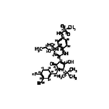 CCO[PH]1(O)N=C(C2=C(O)[C@H](C(C)(C)C)N(Cc3ccc(F)c(Br)c3)C2=O)Nc2ccc(NS(C)(=O)=O)cc21